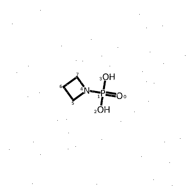 O=P(O)(O)N1CCC1